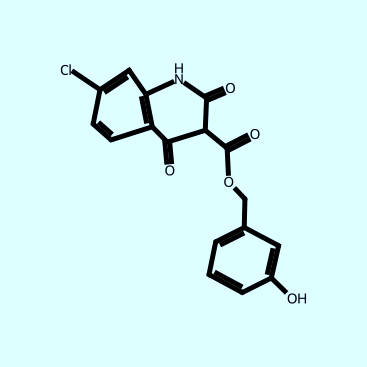 O=C1Nc2cc(Cl)ccc2C(=O)C1C(=O)OCc1cccc(O)c1